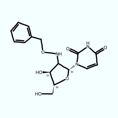 O=c1ccn([C@@H]2O[C@H](CO)[C@@H](O)C2NOCc2ccccc2)c(=O)[nH]1